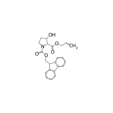 C=CCOC(=O)C1C(O)CCN1C(=O)OCC1c2ccccc2-c2ccccc21